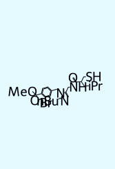 CCCCc1ncc(CNC(=O)C(CS)CC(C)C)n1Cc1ccc(C(=O)OC)c(Br)c1